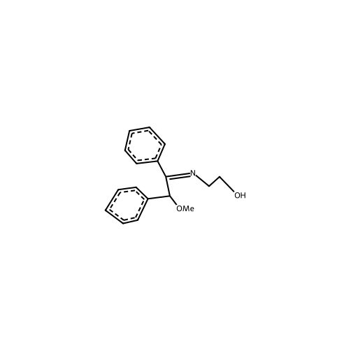 COC(C(=NCCO)c1ccccc1)c1ccccc1